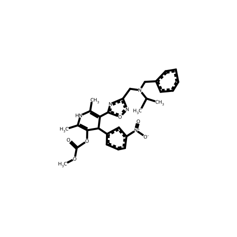 COC(=O)OC1=C(C)NC(C)=C(c2nc(CN(Cc3ccccc3)C(C)C)no2)C1c1cccc([N+](=O)[O-])c1